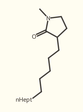 CCCCCCCCCCCCC1CCN(C)C1=O